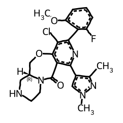 COc1cccc(F)c1-c1nc(-c2cn(C)nc2C)c2c(c1Cl)OC[C@H]1CNCCN1C2=O